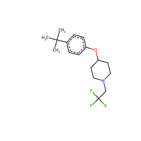 CC(C)(C)c1ccc(OC2CCN(CC(F)(F)F)CC2)cc1